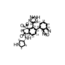 O=S1(=O)N=S(=O)(N[C@@H]2CCNC2)c2ccc(-c3cccc4nonc34)c(-c3nn[nH]n3)c21